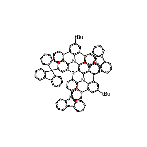 CC(C)(C)c1cc(-c2ccccc2)c(N2c3cc(-n4c5ccccc5c5ccccc54)ccc3B3c4cc5c(cc4N(c4c(-c6ccccc6)cc(C(C)(C)C)cc4-c4ccccc4)c4cc(-n6c7ccccc7c7ccccc76)cc2c43)-c2ccccc2C52c3ccccc3-c3ccccc32)c(-c2ccccc2)c1